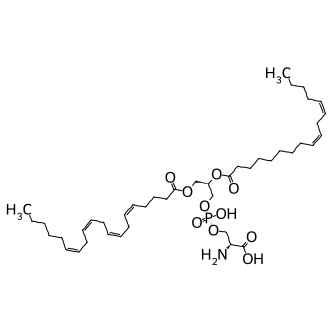 CCCC/C=C\C/C=C\CCCCCCCC(=O)O[C@H](COC(=O)CCC/C=C\C/C=C\C/C=C\C/C=C\CCCCC)COP(=O)(O)OC[C@H](N)C(=O)O